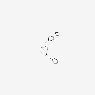 CC(C)[C@H]1C(=O)N(Cc2ccc(-n3ccnc3)cc2)CCN1C(=O)OCc1ccccc1